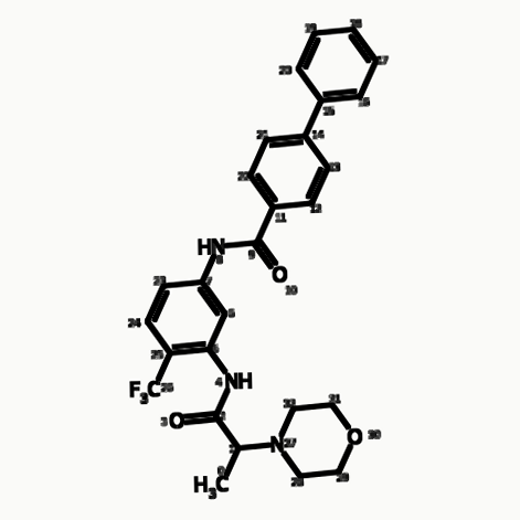 CC(C(=O)Nc1cc(NC(=O)c2ccc(-c3ccccc3)cc2)ccc1C(F)(F)F)N1CCOCC1